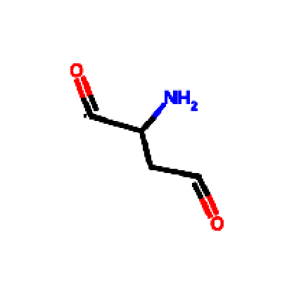 NC([C]=O)CC=O